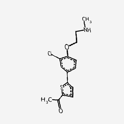 CNCCOc1ccc(-c2ccc(C(C)=O)s2)cc1Cl